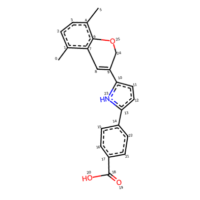 Cc1ccc(C)c2c1C=C(c1ccc(-c3ccc(C(=O)O)cc3)[nH]1)CO2